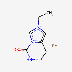 CC[n+]1cc2n(c1)C(=O)NCC2.[Br-]